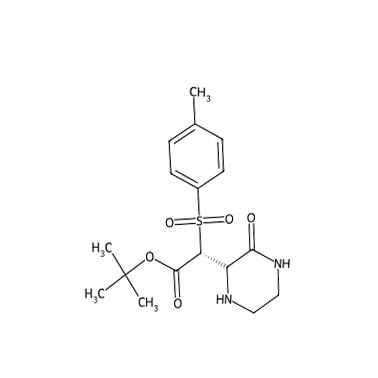 Cc1ccc(S(=O)(=O)[C@@H](C(=O)OC(C)(C)C)C2NCCNC2=O)cc1